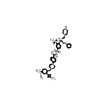 CC1(C)CCC(CN2CCN(c3ccc(C(=O)NS(=O)(=O)c4ccc(N[C@H](CCN5CCNCC5)CSc5ccccc5)c(S(=O)(=O)C(F)(F)F)c4)cc3)CC2)=C(C23CC(C(F)(F)F)(C2)C3)C1